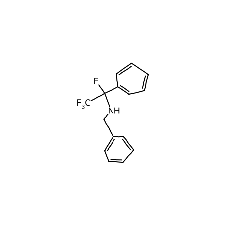 FC(F)(F)C(F)(NCc1ccccc1)c1ccccc1